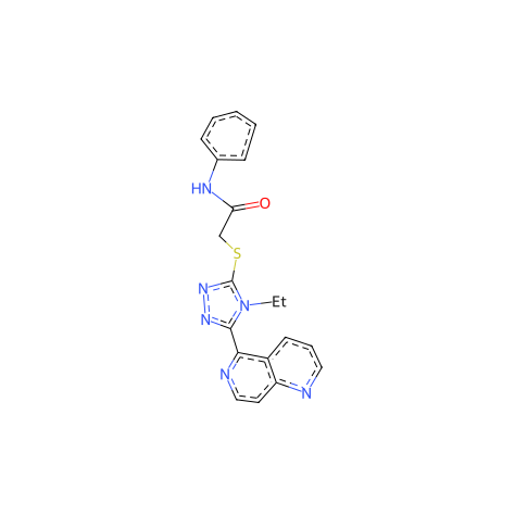 CCn1c(SCC(=O)Nc2ccccc2)nnc1-c1nccc2ncccc12